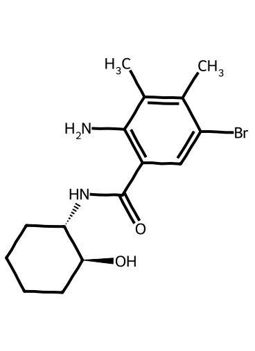 Cc1c(Br)cc(C(=O)N[C@H]2CCCC[C@@H]2O)c(N)c1C